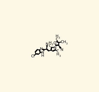 Cc1oc(-n2c(C)cc(C=C(C#N)c3nc4ccc(Cl)cc4[nH]3)c2C)c(C#N)c1C